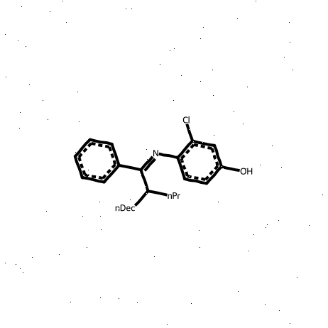 CCCCCCCCCCC(CCC)C(=Nc1ccc(O)cc1Cl)c1ccccc1